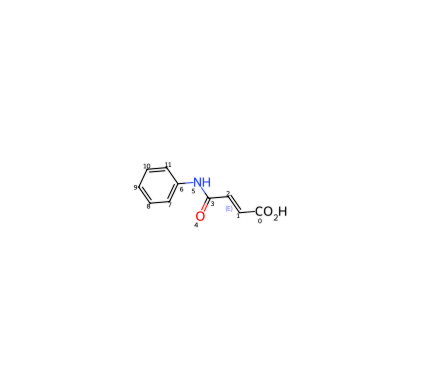 O=C(O)/C=C/C(=O)Nc1ccccc1